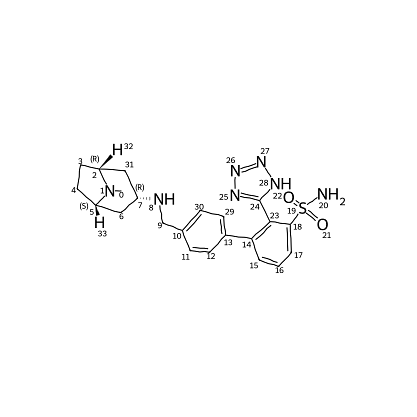 CN1[C@@H]2CC[C@H]1C[C@@H](NCc1ccc(-c3cccc(S(N)(=O)=O)c3-c3nnn[nH]3)cc1)C2